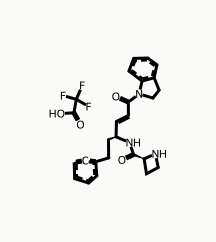 O=C(N[C@H](C=CC(=O)N1CCc2ccccc21)CCc1ccccc1)[C@@H]1CCN1.O=C(O)C(F)(F)F